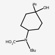 CC(C)C1(O)CCC(N(C(=O)O)C(C)(C)C)CC1